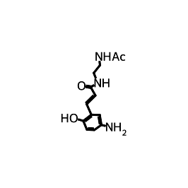 CC(=O)NCCNC(=O)C=Cc1cc(N)ccc1O